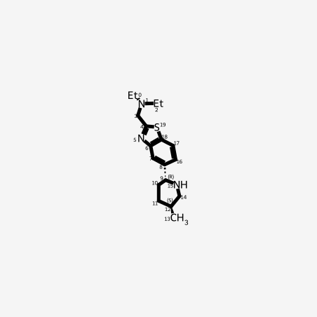 CCN(CC)Cc1nc2cc([C@H]3CC[C@H](C)CN3)ccc2s1